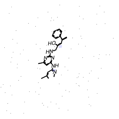 C=C(/C=C(\O)CNc1nc(C)cc(N/C(C=C(C)C)=N/C)n1)c1ccccc1